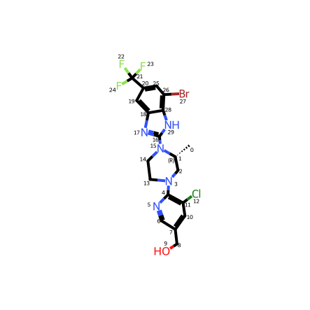 C[C@@H]1CN(c2ncc(CO)cc2Cl)CCN1c1nc2cc(C(F)(F)F)cc(Br)c2[nH]1